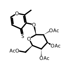 CC(=O)OC[C@H]1O[C@@H](Oc2c(C)occc2=S)[C@H](OC(C)=O)[C@@H](OC(C)=O)[C@@H]1OC(C)=O